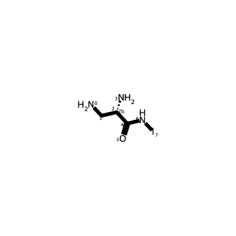 NC[C@H](N)C(=O)NI